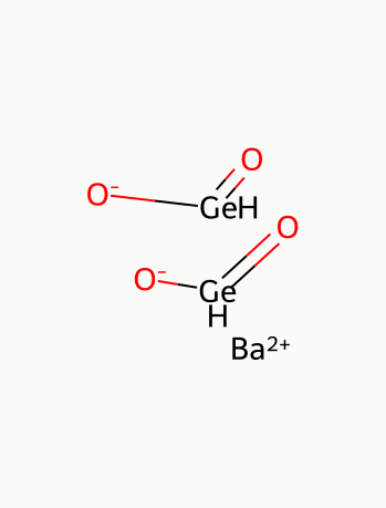 [Ba+2].[O]=[GeH][O-].[O]=[GeH][O-]